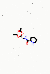 CCO[C@@H](CNC(=O)[C@@H]1CCCCN1)OC(C)=O